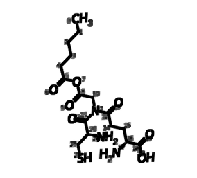 CCCCCC(=O)OC(=O)CN(C(=O)CC[C@H](N)C(=O)O)C(=O)[C@@H](N)CS